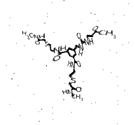 CNC(=O)CSCCNC(=O)c1cc(CNC(=O)NCCC(C)=O)cc(C(=O)NCCSCC(=O)NC)c1